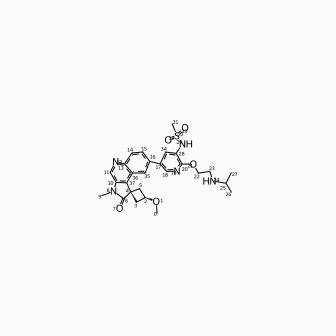 CO[C@H]1C[C@@]2(C1)C(=O)N(C)c1cnc3ccc(-c4cnc(OCCNC(C)C)c(NS(C)(=O)=O)c4)cc3c12